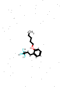 CCCCCOc1ccccc1CCC(F)(F)F